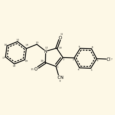 N#CC1=C(c2ccc(Cl)cc2)C(=O)N(Cc2ccccc2)C1=O